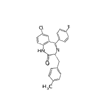 Cc1ccc(CC2N=C(c3ccc(F)cc3)c3cc(Cl)ccc3NC2=O)cc1